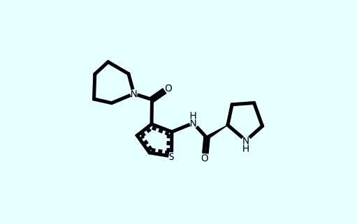 O=C(Nc1sccc1C(=O)N1CCCCC1)[C@H]1CCCN1